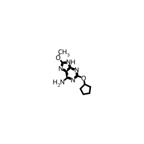 COc1nc2c(N)nc(OC3CCCC3)nc2[nH]1